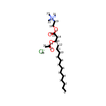 CCCCCCCCCCCCC[C@@H](CC(=O)OCC[N+](C)(C)C)OC(C)=O.[Cl-]